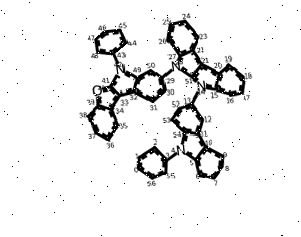 c1ccc(-n2c3ccccc3c3cc(-n4c5ccccc5c5c6ccccc6n(-c6ccc7c8c9ccccc9oc8n(-c8ccccc8)c7c6)c54)ccc32)cc1